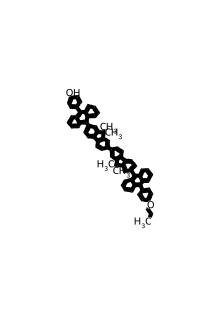 CCCOc1ccc(-c2c3ccccc3c(-c3ccc4c(c3)C(C)(C)c3cc(-c5ccc6c(c5)C(C)(C)c5cc(-c7c8ccccc8c(-c8ccc(O)cc8)c8ccccc78)ccc5-6)ccc3-4)c3ccccc23)cc1